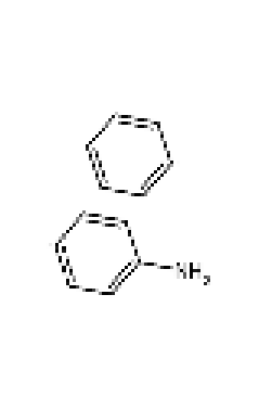 Nc1cc[c]cc1.[c]1ccccc1